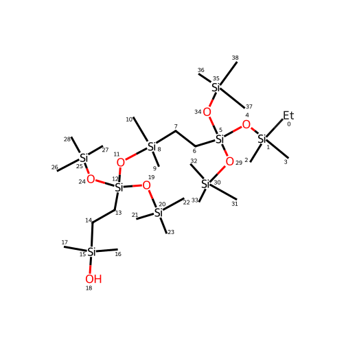 CC[Si](C)(C)O[Si](CC[Si](C)(C)O[Si](CC[Si](C)(C)O)(O[Si](C)(C)C)O[Si](C)(C)C)(O[Si](C)(C)C)O[Si](C)(C)C